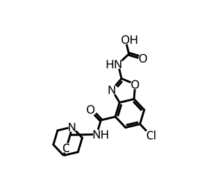 O=C(O)Nc1nc2c(C(=O)NC3CC4CCN3CC4)cc(Cl)cc2o1